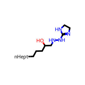 CCCCCCCCCCC(O)CNNC1=NCCN1